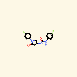 O=C(Nc1ccc(F)cc1)NC1CC(=O)N(c2ccc(F)cc2)C1